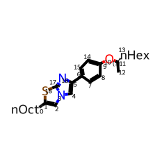 CCCCCCCCc1cn2cc(-c3ccc(O[C@@H](C)CCCCCC)cc3)nc2s1